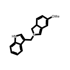 COC1=CC2=CN(Cc3c[nH]c4ccccc34)CC2C=C1